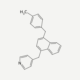 Cc1ccc(Cc2ccc(Cc3ccncc3)c3ccccc23)cc1